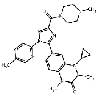 Cc1ccc(-n2nc(C(=O)N3CCN(C)CC3)nc2-c2ccc3c(c2)N(C2CC2)C(C)C(=O)N3C)cc1